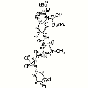 Cc1cc(NC(=O)[C@H]2[C@H](c3ccc(Cl)c(Cl)c3)C2(Cl)Cl)cc(C(=O)Nc2cc(N(C(=O)OC(C)(C)C)C(O)OC(C)(C)C)c(F)cc2F)c1Cl